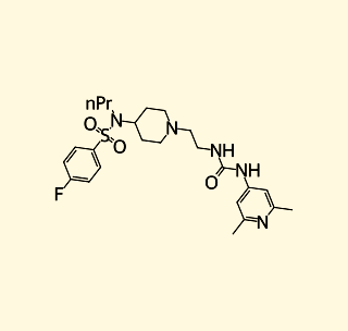 CCCN(C1CCN(CCNC(=O)Nc2cc(C)nc(C)c2)CC1)S(=O)(=O)c1ccc(F)cc1